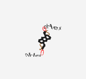 CCCCCCOc1cc2c(ccc3cc4c(ccc5sc(OCCCCCC)cc54)cc32)s1